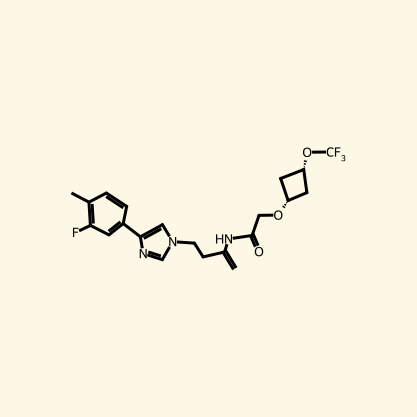 C=C(CCn1cnc(-c2ccc(C)c(F)c2)c1)NC(=O)CO[C@H]1C[C@@H](OC(F)(F)F)C1